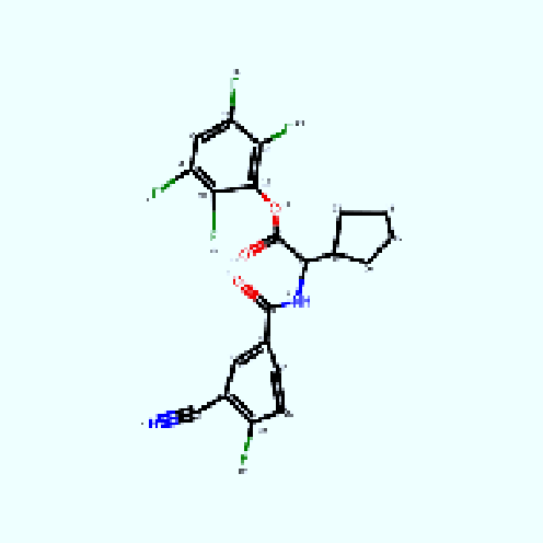 N#Cc1cc(C(=O)NC(C(=O)Oc2c(F)c(F)cc(F)c2F)C2CCCC2)ccc1F